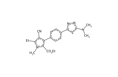 CCOC(=O)c1c(-c2ccc(-c3nnc(N(C)C)s3)cc2)c(C#N)c(CC)n1C